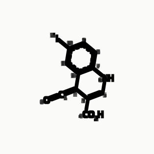 O=C=C1C(C(=O)O)=CNc2ccc(I)cc21